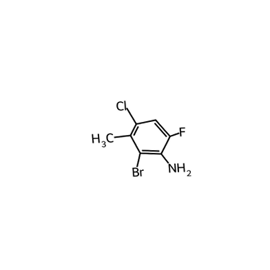 Cc1c(Cl)cc(F)c(N)c1Br